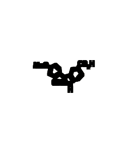 COc1ccc(-c2c[nH]c3ccc(C(=O)O)cc23)c(OC)c1